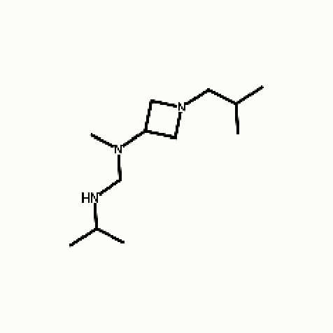 CC(C)CN1CC(N(C)CNC(C)C)C1